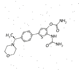 C[C@@H](c1ccc(-c2cc(OC(N)=O)c(NC(N)=O)s2)cc1)N1CCOCC1